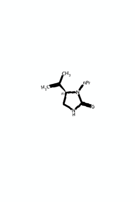 C=C(C)[C@@H]1CNC(=O)N1CCC